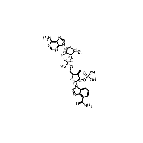 C=C1C(COP(=O)(S)O[C@H]2[C@@H](F)[C@H](n3cnc4c(N)ncnc43)O[C@@H]2CC)O[C@@H](n2nnc3c(C(N)=O)cccc32)[C@@H]1OP(=O)(O)S